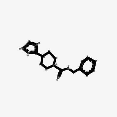 O=C(OCc1ccccc1)N1CCC(c2nnco2)CC1